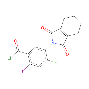 O=C(Cl)c1cc(N2C(=O)C3=C(CCCC3)C2=O)c(F)cc1I